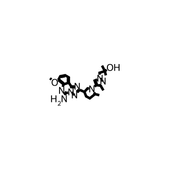 COc1cccc2c1nc(N)n1nc(C3CCC(C)N(c4cn(CC(C)(C)O)nc4C)C3)nc21